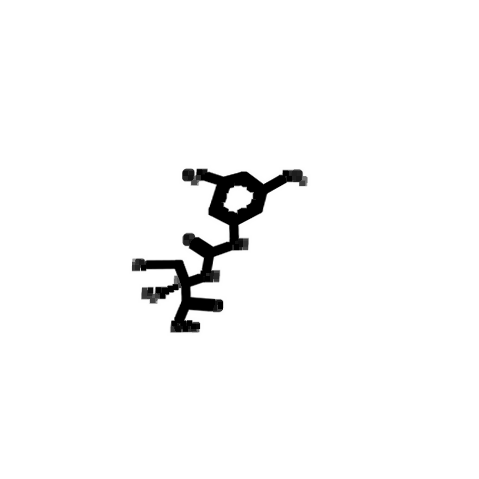 CNC(=O)[C@@](N)(CC(C)C)NC(=O)Nc1cc([N+](=O)[O-])cc([N+](=O)[O-])c1